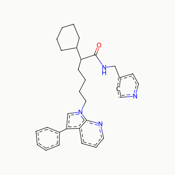 O=C(NCc1ccncc1)C(CCCCn1cc(-c2ccccc2)c2cccnc21)C1CCCCC1